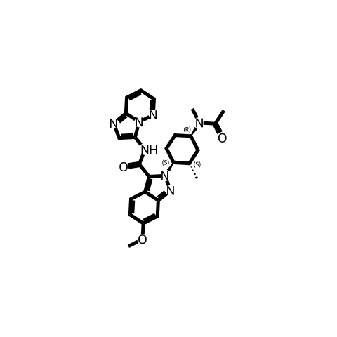 COc1ccc2c(C(=O)Nc3cnc4cccnn34)n([C@H]3CC[C@@H](N(C)C(C)=O)C[C@@H]3C)nc2c1